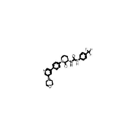 O=C(Nc1ccc(C(F)(F)F)cc1)N[C@@H]1CCCN(c2ccc(-c3cncc(N4CCOCC4)c3)cc2)C1=O